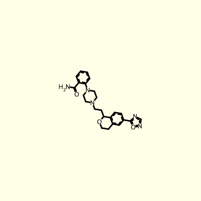 NC(=O)c1ccccc1N1CCN(CCC2OCCc3cc(-c4ncno4)ccc32)CC1